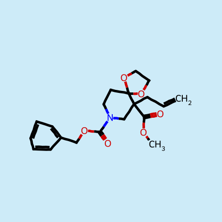 C=CCC1(C(=O)OC)CN(C(=O)OCc2ccccc2)CCC12OCCO2